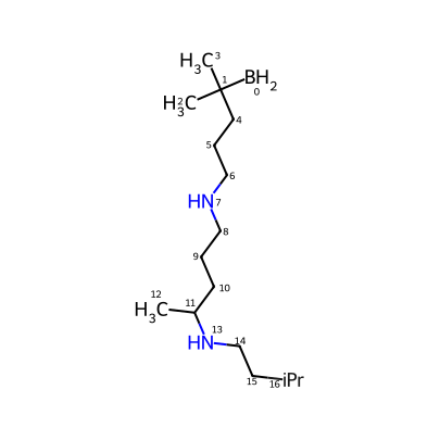 BC(C)(C)CCCNCCCC(C)NCCC(C)C